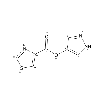 O=C(Oc1cn[nH]c1)c1cscn1